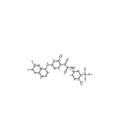 Cc1cc2nccc(Oc3ccc(C(=O)C(=O)Nc4ccc(Cl)c(C(F)(F)F)c4)c(Cl)c3)c2cc1C